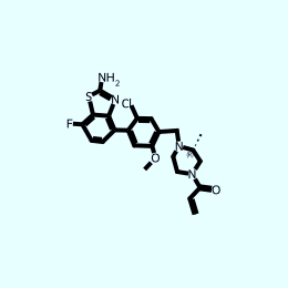 C=CC(=O)N1CCN(Cc2cc(Cl)c(-c3ccc(F)c4sc(N)nc34)cc2OC)[C@H](C)C1